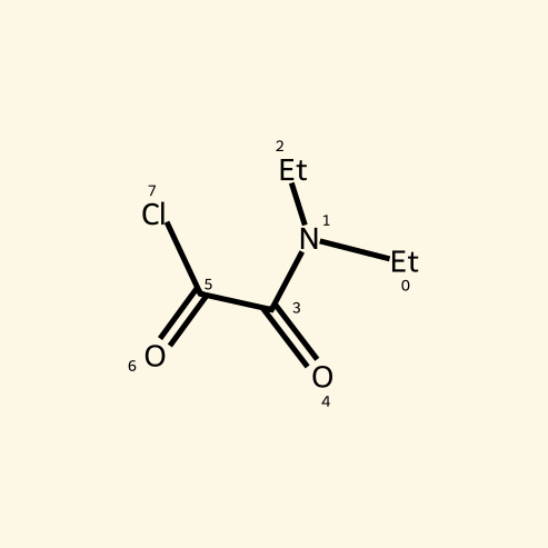 CCN(CC)C(=O)C(=O)Cl